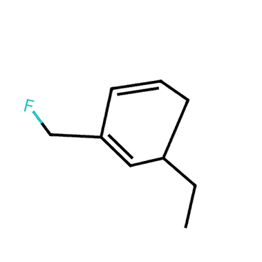 CCC1C=C(CF)C=CC1